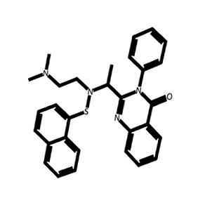 CC(c1nc2ccccc2c(=O)n1-c1ccccc1)N(CCN(C)C)Sc1cccc2ccccc12